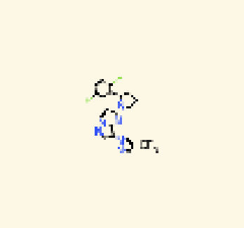 Fc1ccc(F)c(C2CCCN2c2ccn3ncc(-n4cc(C(F)(F)F)cn4)c3n2)c1